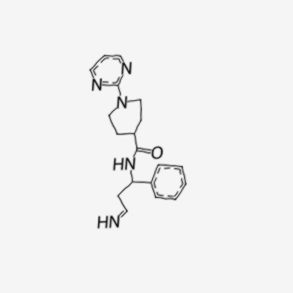 N=CCC(NC(=O)C1CCN(c2ncccn2)CC1)c1ccccc1